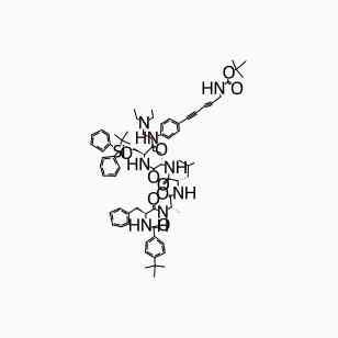 CCN(CC)CCCC[C@H](NC(=O)[C@H](CC(C)C)NC(=O)[C@H](C)NC(=O)[C@H](Cc1ccccc1)NC(=O)c1ccc(C(C)(C)C)cc1)C(=O)N[C@@H](CO[Si](c1ccccc1)(c1ccccc1)C(C)(C)C)C(=O)Nc1ccc(C#CC#CCNC(=O)OC(C)(C)C)cc1